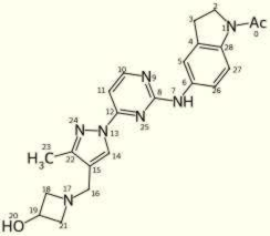 CC(=O)N1CCc2cc(Nc3nccc(-n4cc(CN5CC(O)C5)c(C)n4)n3)ccc21